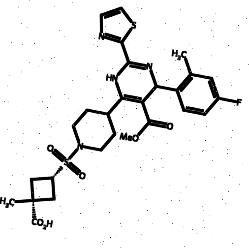 COC(=O)C1=C(C2CCN(S(=O)(=O)[C@H]3C[C@@](C)(C(=O)O)C3)CC2)NC(c2nccs2)=NC1c1ccc(F)cc1C